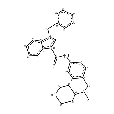 CN(Cc1ccc(NC(=O)c2cn(Cc3ccccc3)c3ccccc23)cc1)C1CCOCC1